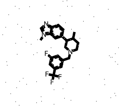 CC1CCN(Cc2cc(F)cc(C(F)(F)F)c2)CC1c1ccc2ncn(C)c2c1